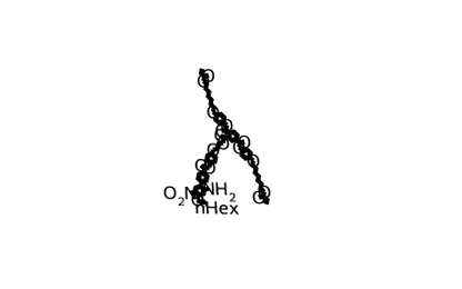 C=CC(=O)OCCCCCCCOc1ccc(OC(=O)c2ccc(C(=O)Oc3ccc(OCCCCCCCOC(=O)C=C)cc3)c(C(=O)OCCOc3ccc(OC(=O)c4ccc(-c5cc([N+](=O)[O-])c(O[C@@H](C)CCCCCC)cc5N)cc4)cc3)c2)cc1